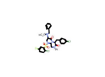 CC(C)N1CC2N(C(=O)C(N(Cc3ccccc3)C(=O)O)CN2S(=O)(=O)c2cc(F)ccc2Cl)C(Cc2ccc(Cl)cc2)C1=O